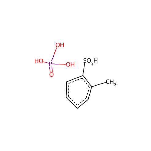 Cc1ccccc1S(=O)(=O)O.O=P(O)(O)O